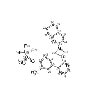 Cc1cncc(-c2nccnc2C2CN(c3ccc4ccccc4n3)C2)c1.O=C(O)C(F)(F)F